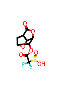 O=C1OC2C(OC(=O)C(F)(F)S(=O)O)C3CC1C2O3